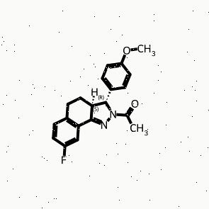 COc1ccc([C@H]2[C@@H]3CCc4ccc(F)cc4C3=NN2C(C)=O)cc1